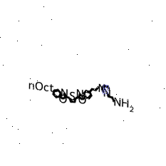 C/C=C\N(/C=N/CCCN)CCCc1ccc2oc(-c3ccc(-c4nc5cc(CCCCCCCC)ccc5o4)s3)nc2c1